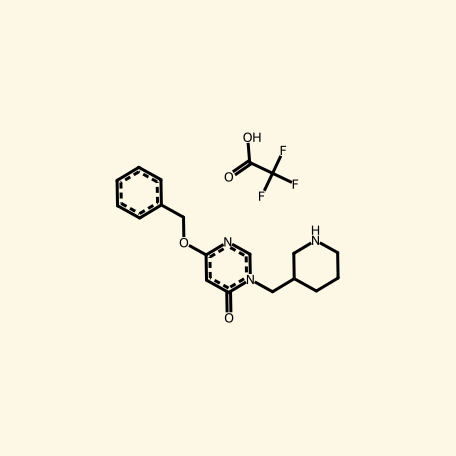 O=C(O)C(F)(F)F.O=c1cc(OCc2ccccc2)ncn1CC1CCCNC1